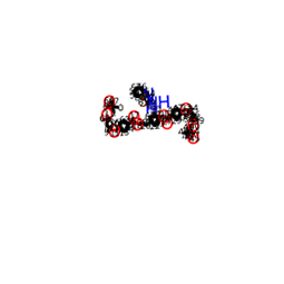 CC1(COC(C)(C)CC(C)(C)Oc2ccc(C(=O)OCCc3ccc(OC(=O)c4ccc(OC(C)(C)CC(C)(C)OCC5(C)COC5)cc4)c(/C=N/Nc4nc5ccccc5s4)c3)cc2)COC1